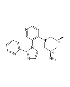 C[C@H]1C[C@@H](N)CN(c2ccncc2-n2ccnc2-c2ccccn2)C1